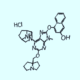 Cl.Cn1c(Oc2cc(O)cc3ccccc23)nc2c(N3CC4CCC(C3)N4)nc(OCC34CCCN3CCC4)nc21